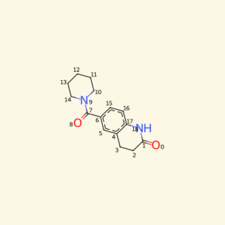 O=C1CCc2cc(C(=O)N3CCCCC3)ccc2N1